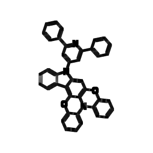 c1ccc(-c2cc(-n3c4ccccc4c4c5c6c(cc43)Oc3ccccc3N6c3ccccc3O5)cc(-c3ccccc3)n2)cc1